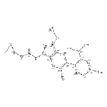 CC(C)(C)Cn1cc(CNSC2CC2)c2cc(F)c(-c3ncc(F)cc3C(F)F)cc21